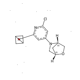 Clc1cc(N2C[C@@H]3C[C@H]2CO3)cc(N2CC3CC2C3)n1